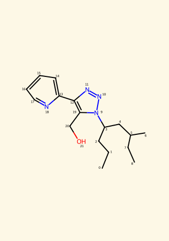 CCCC(CC(C)CC)n1nnc(-c2ccccn2)c1CO